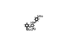 COC(=O)[C@@H]1C[C@H](NCc2ccc(SC)cc2)CN1Cc1ccccc1Cl